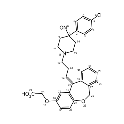 O=NC1(c2ccc(Cl)cc2)CCN(CCC=C2c3cc(OCC(=O)O)ccc3OCc3ncccc32)CC1